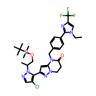 CCn1cc(C(F)(F)F)nc1-c1ccc(CN2C(=O)CCn3nc(-c4c(Cl)cnn4C(C)CO[Si](C)(C)C(C)(C)C)cc32)cc1